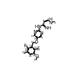 CN/C=C\C(=N)Nc1ncc(OCc2c(F)c(C)cc(OC)c2F)cn1